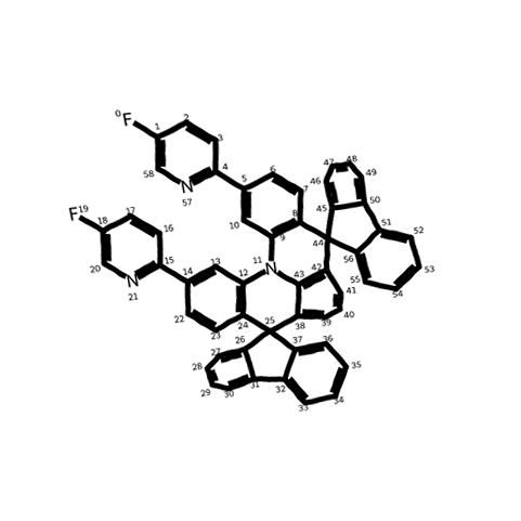 Fc1ccc(-c2ccc3c(c2)N2c4cc(-c5ccc(F)cn5)ccc4C4(c5ccccc5-c5ccccc54)c4cccc(c42)C32c3ccccc3-c3ccccc32)nc1